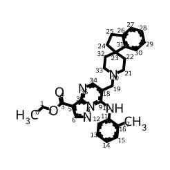 CCOC(=O)c1cnn2c(Nc3ccccc3C)c(CN3CCC4(CCc5ccccc54)CC3)cnc12